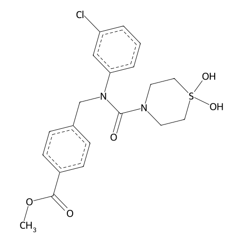 COC(=O)c1ccc(CN(C(=O)N2CCS(O)(O)CC2)c2cccc(Cl)c2)cc1